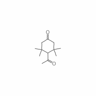 CC(=O)C1C(C)(C)CC(=O)CC1(C)C